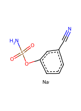 N#Cc1cccc(OS(N)(=O)=O)c1.[Na]